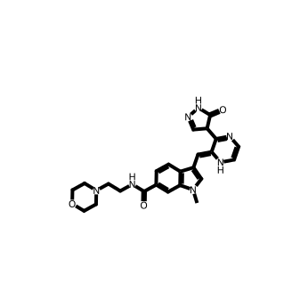 Cn1cc(C=C2NC=CN=C2C2C=NNC2=O)c2ccc(C(=O)NCCN3CCOCC3)cc21